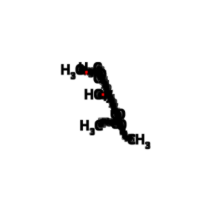 CC/C=C\CCCCOC(CCC(=O)OCCCCCCCN(CCCO)CCCCCCCC(=O)OC(CC)CCCCCCCC)OCCCC/C=C\CC